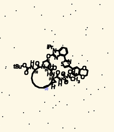 CC(C)n1c(O[C@@H]2C[C@H]3C(=O)N[C@]4(C(=O)NS(=O)(=O)N(C)C)C[C@H]4/C=C\CCCCC[C@H](NC(=O)OC(C)(C)C)C(=O)N3C2)nc2c(-c3nc(-c4ccc5c(c4)OCCO5)cs3)cccc21